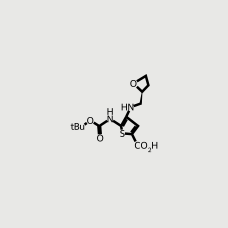 CC(C)(C)OC(=O)Nc1sc(C(=O)O)cc1NC[C@@H]1CCO1